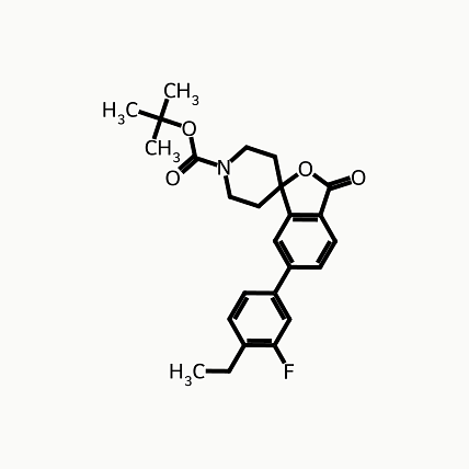 CCc1ccc(-c2ccc3c(c2)C2(CCN(C(=O)OC(C)(C)C)CC2)OC3=O)cc1F